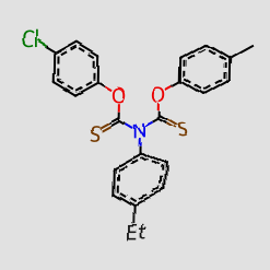 CCc1ccc(N(C(=S)Oc2ccc(C)cc2)C(=S)Oc2ccc(Cl)cc2)cc1